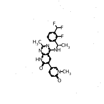 Cc1nc(N[C@H](C)c2cccc(C(F)F)c2F)c2cc(-c3ccc(=O)n(C)c3)c(=O)[nH]c2n1